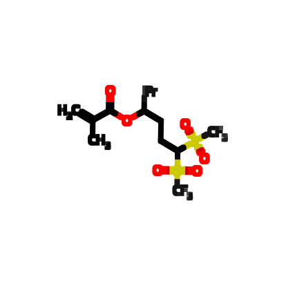 C=C(C)C(=O)OC(CCC(S(=O)(=O)C(F)(F)F)S(=O)(=O)C(F)(F)F)C(C)C